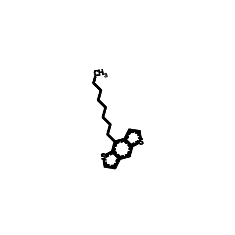 CCCCCCCCc1c2ccsc2cc2ccsc12